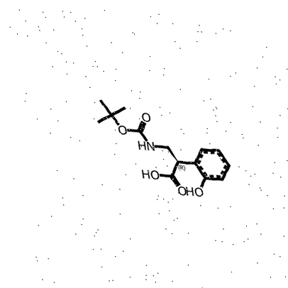 CC(C)(C)OC(=O)NC[C@H](C(=O)O)c1ccccc1O